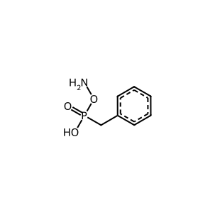 NOP(=O)(O)Cc1ccccc1